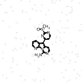 C[S+]([O-])c1nccc(-c2c3cccnc3n3c(N)nccc23)n1